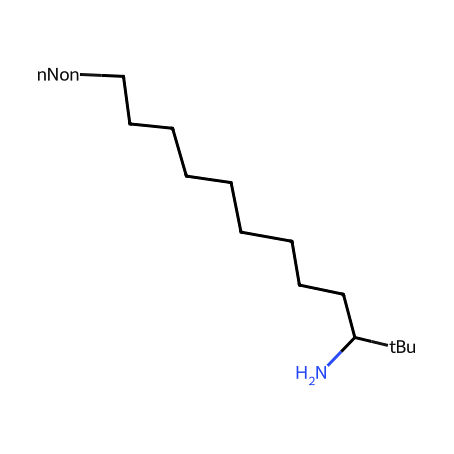 CCCCCCCCCCCCCCCCCCC(N)C(C)(C)C